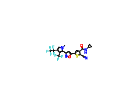 Cn1cc(C(F)(F)C(F)(F)F)c(C(F)(F)F)c1-c1cc(-c2cc(C(=O)NC3CC3)c(C#N)s2)on1